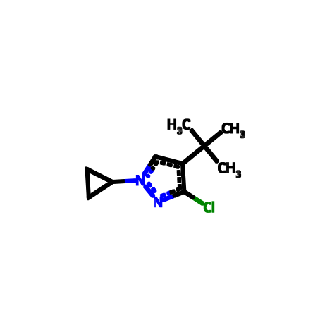 CC(C)(C)c1cn(C2CC2)nc1Cl